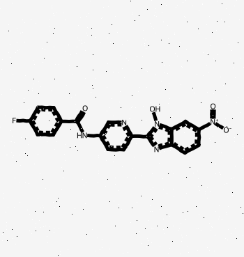 O=C(Nc1ccc(-c2nc3ccc([N+](=O)[O-])cc3n2O)nc1)c1ccc(F)cc1